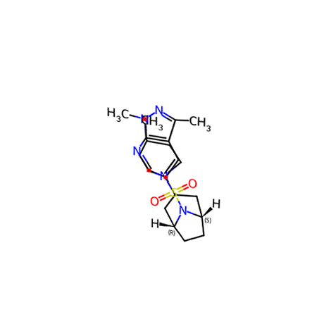 Cc1nn(C)c2ncc(S(=O)(=O)N3[C@@H]4CC[C@H]3CC(N3CCC(C)CC3)C4)cc12